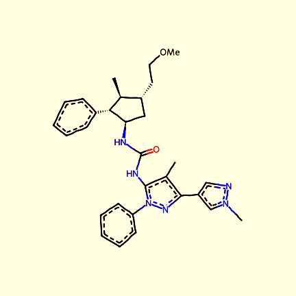 COCC[C@@H]1C[C@@H](NC(=O)Nc2c(C)c(-c3cnn(C)c3)nn2-c2ccccc2)[C@H](c2ccccc2)[C@H]1C